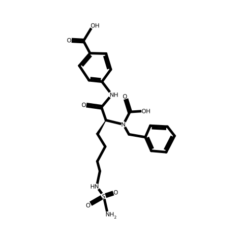 NS(=O)(=O)NCCCC[C@@H](C(=O)Nc1ccc(C(=O)O)cc1)N(Cc1ccccc1)C(=O)O